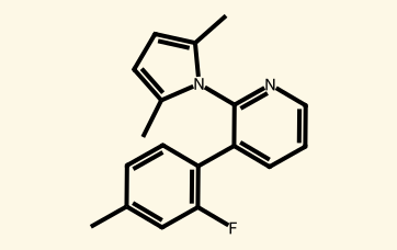 Cc1ccc(-c2cccnc2-n2c(C)ccc2C)c(F)c1